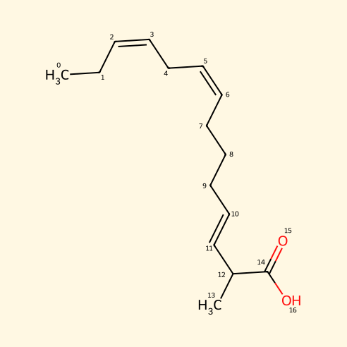 CC/C=C\C/C=C\CCC/C=C/C(C)C(=O)O